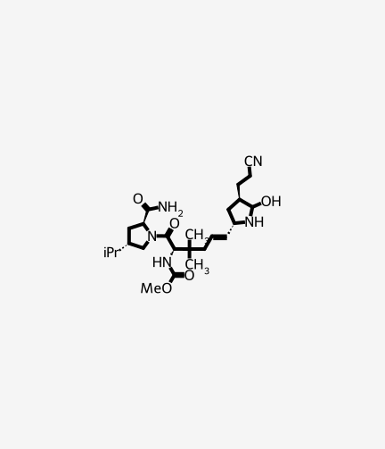 COC(=O)N[C@H](C(=O)N1C[C@H](C(C)C)C[C@H]1C(N)=O)C(C)(C)C/C=C/[C@@H]1C[C@@H](CCC#N)C(O)N1